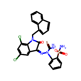 NC(=S)N(/N=C1\C(=O)N(Cc2cccc3ccccc23)c2c(Cl)cc(Cl)cc21)c1ccccc1S(N)(=O)=O